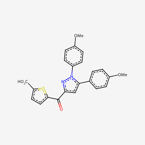 COc1ccc(-c2cc(C(=O)c3ccc(C(=O)O)s3)nn2-c2ccc(OC)cc2)cc1